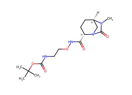 CN1C(=O)N2C[C@H]1CC[C@H]2C(=O)NOCCNC(=O)OC(C)(C)C